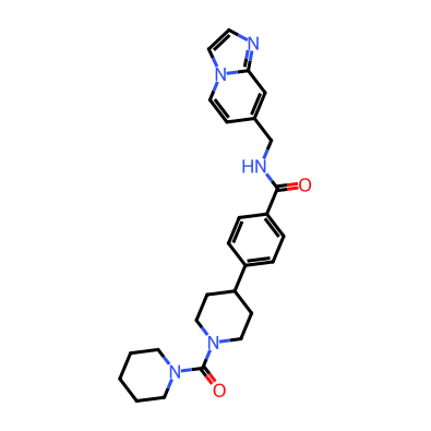 O=C(NCc1ccn2ccnc2c1)c1ccc(C2CCN(C(=O)N3CCCCC3)CC2)cc1